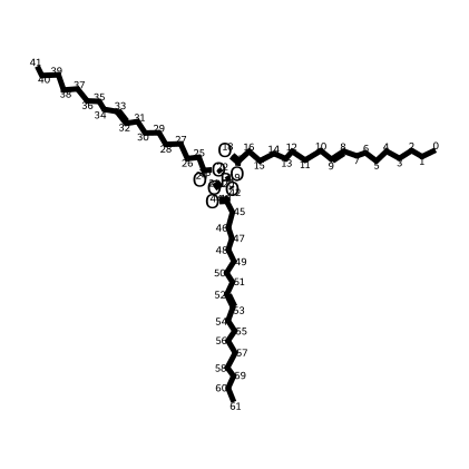 CCCCCCCCC=CCCCCCCCC(=O)OP(=O)(OC(=O)CCCCCCCC=CCCCCCCCC)OC(=O)CCCCCCCC=CCCCCCCCC